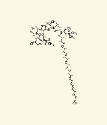 C#CCOCCOCCOCCOCCOCCOCCOCCCCN(C(=O)OC(C)(C)C)[C@H]1CCN(c2nc3cc([C@@H]4CCCCN4C(=O)c4cc(Cl)ccc4NS(C)(=O)=O)nn3cc2C)C1